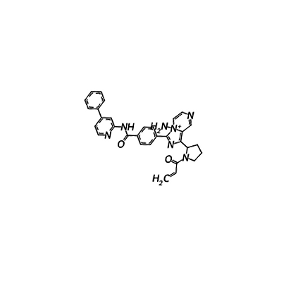 C=CC(=O)N1CCCC1C1=C2C=NC=C[N+]2(N)C(c2ccc(C(=O)Nc3cc(-c4ccccc4)ccn3)cc2)=N1